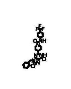 O=C(Nc1ccc(C(F)(F)F)cc1)N1CCC(c2nc3c(nnn3Cc3ccccc3Cl)c(=O)[nH]2)CC1